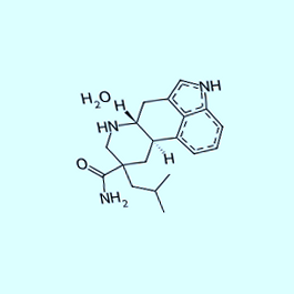 CC(C)CC1(C(N)=O)CN[C@@H]2Cc3c[nH]c4cccc(c34)[C@H]2C1.O